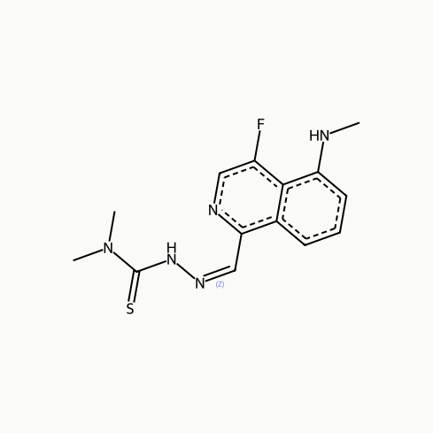 CNc1cccc2c(/C=N\NC(=S)N(C)C)ncc(F)c12